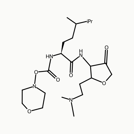 CC(C)C(C)CC[C@H](NC(=O)ON1CCOCC1)C(=O)NC1C(=O)COC1CCN(C)C